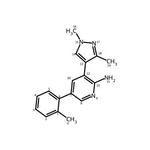 Cc1ccccc1-c1cnc(N)c(-c2cn(C)nc2C)c1